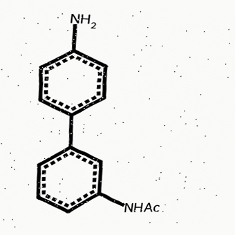 CC(=O)Nc1cccc(-c2ccc(N)cc2)c1